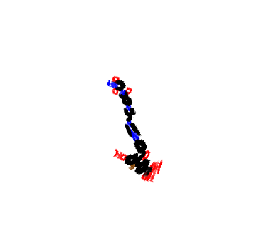 O=C1CCC(N2Cc3cc(N4CCC(CCN5CCN(c6ccc(C(=O)c7c(-c8ccc(B(O)O)cc8)sc8cc(O)ccc78)cc6)CC5)CC4)ccc3C2=O)C(=O)N1